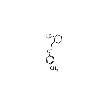 Cc1ccc(OCCC2CCCCN2C)cc1